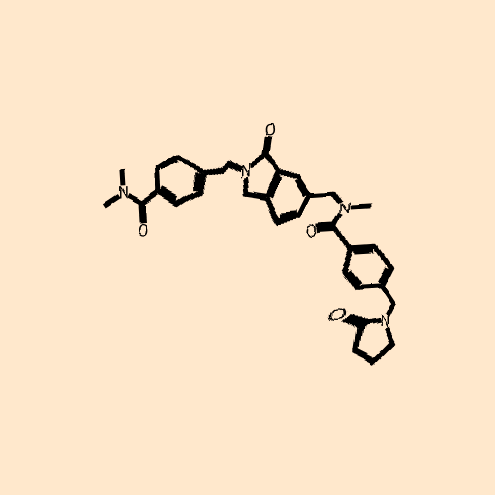 CN(C)C(=O)c1ccc(CN2Cc3ccc(CN(C)C(=O)c4ccc(CN5CCCC5=O)cc4)cc3C2=O)cc1